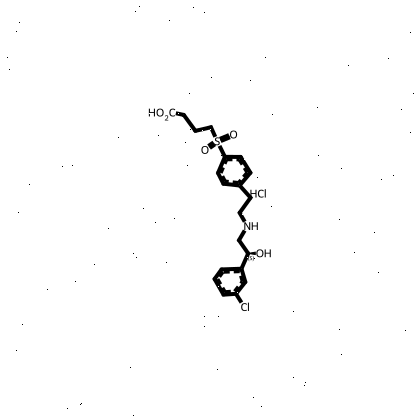 Cl.O=C(O)CCCS(=O)(=O)c1ccc(CCNC[C@@H](O)c2cccc(Cl)c2)cc1